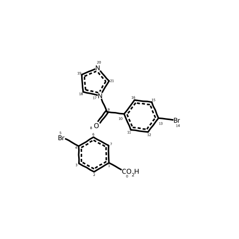 O=C(O)c1ccc(Br)cc1.O=C(c1ccc(Br)cc1)n1ccnc1